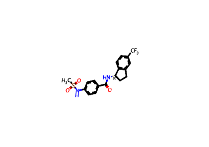 CS(=O)(=O)Nc1ccc(C(=O)N[C@H]2CCc3cc(C(F)(F)F)ccc32)cc1